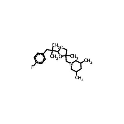 CC1CC(C)CN(CC2(C)COC(C(C)(C)Cc3ccc(F)cc3)O2)C1